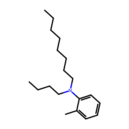 CCCCCCCCN(CCCC)c1ccccc1C